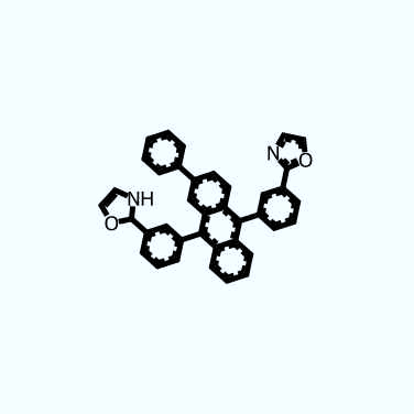 C1=COC(c2cccc(-c3c4ccccc4c(-c4cccc(-c5ncco5)c4)c4ccc(-c5ccccc5)cc34)c2)N1